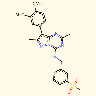 COc1ccc(-c2c(C)nn3c(NCc4cccc(S(C)(=O)=O)c4)nc(C)nc23)cc1OC